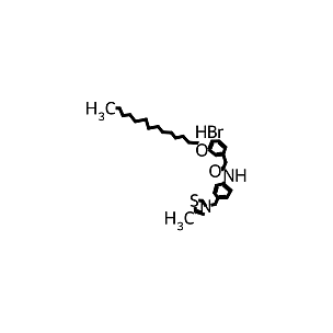 Br.CCCCCCCCCCCCCCOc1cccc(CC(=O)Nc2ccc(CN3C=C(C)SC3)cc2)c1